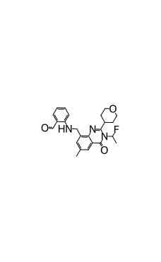 Cc1cc(CNc2ccccc2C=O)c2nc(C3CCOCC3)n(C(C)F)c(=O)c2c1